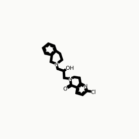 O=C1c2ccc(Cl)nc2CCN1CC(O)CN1CCc2ccccc2C1